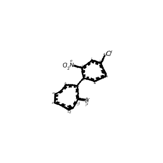 O=[N+]([O-])c1cc(Cl)ccc1-c1ccccc1Br